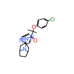 CC(C)(Oc1ccc(Cl)cc1)C(=O)NC1CC2CCC(C1)N2c1cnccn1